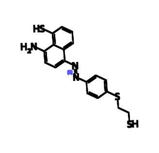 Nc1ccc(/N=N/c2ccc(SCCS)cc2)c2cccc(S)c12